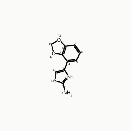 Nc1nc(-c2cccc3c2OCO3)cs1